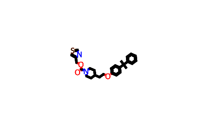 CC(C)(c1ccccc1)c1ccc(OCCC2CCN(C(=O)OCc3cscn3)CC2)cc1